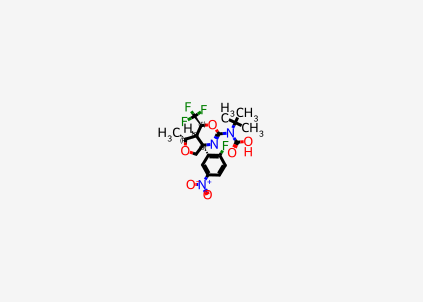 C[C@H]1OC[C@]2(c3cc([N+](=O)[O-])ccc3F)N=C(N(C(=O)O)C(C)(C)C)O[C@H](C(F)(F)F)[C@H]12